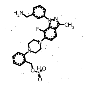 Cc1nn(-c2cccc(CN)c2)c2c(F)c(N3CCN(c4ccccc4CO[SH](=O)=O)CC3)ccc12